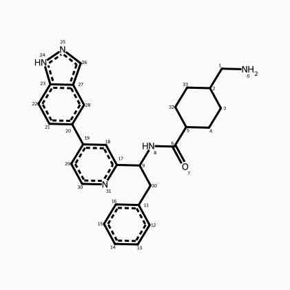 NCC1CCC(C(=O)NC(Cc2ccccc2)c2cc(-c3ccc4[nH]ncc4c3)ccn2)CC1